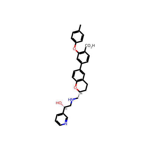 Cc1ccc(Oc2cc(-c3ccc4c(c3)CC[C@H](CNC[C@@H](O)c3cccnc3)O4)ccc2C(=O)O)cc1